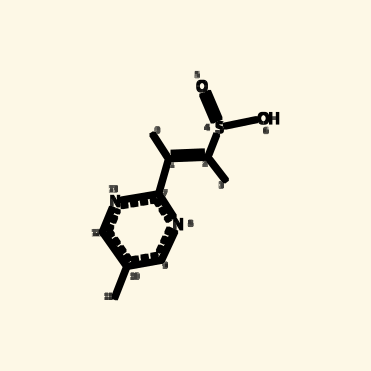 C/C(=C(/C)S(=O)O)c1ncc(C)cn1